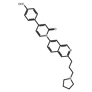 O=Cc1ccc(-c2ccn(-c3ccc4cc(CCCN5CCCC5)ncc4c3)c(=O)c2)cc1